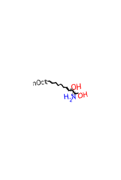 CCCCCCCCCCCCCCC=C[C@@H](O)[C@@H](N)CO